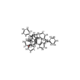 c1ccc(-c2nc(-c3ccccc3)nc(-c3cccc4c3c3c(-c5cc6ccccc6c6ccccc56)cccc3n4-c3ccccc3)n2)cc1